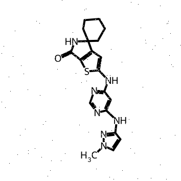 Cn1ccc(Nc2cc(Nc3cc4c(s3)C(=O)NC43CCCCC3)ncn2)n1